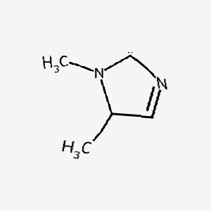 CC1C=N[C]N1C